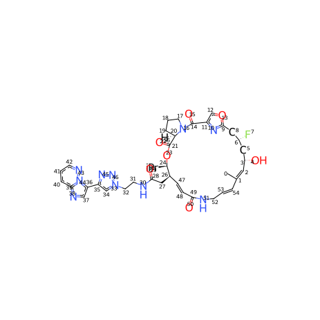 CC1=C\[C@@H](O)C[C@@H](F)Cc2nc(co2)C(=O)N2CCC[C@@H]2C(=O)O[C@H](C(C)C)[C@H](CC(=O)NCCn2cc(-c3cnc4cccnn34)nn2)/C=C/C(=O)NC\C=C\1